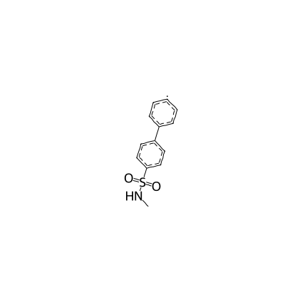 CNS(=O)(=O)c1ccc(-c2cc[c]cc2)cc1